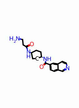 NCCC(=O)N[C@H]1CC[C@H](NC(=O)c2ccc3cnccc3c2)CC1